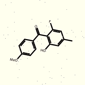 COc1ccc(C(=O)c2c(O)cc(C)cc2F)cc1